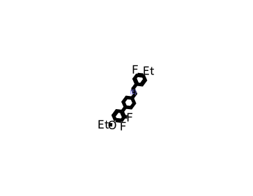 CCOc1ccc(C2CCC(/C=C/c3ccc(CC)c(F)c3)CC2)c(F)c1F